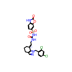 O=C(NC/C=C1\CCCc2cnn(Cc3ccc(Cl)cc3Cl)c21)NS(=O)(=O)c1ccc2[nH]c(=O)oc2c1